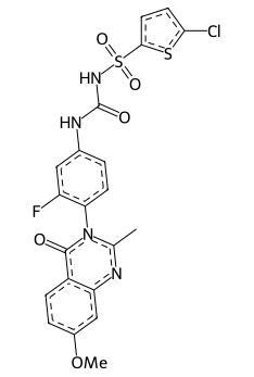 COc1ccc2c(=O)n(-c3ccc(NC(=O)NS(=O)(=O)c4ccc(Cl)s4)cc3F)c(C)nc2c1